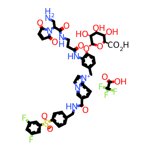 NCC(C(=O)NCCC(=O)Nc1cc(C[n+]2ccn3cc(C(=O)NCc4ccc(S(=O)(=O)c5cc(F)cc(F)c5)cc4)ccc32)ccc1O[C@@H]1O[C@H](C(=O)O)[C@@H](O)[C@H](O)[C@H]1O)N1C(=O)C=CC1=O.O=C(O)C(F)(F)F